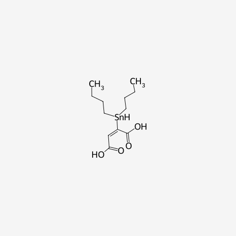 CCC[CH2][SnH]([CH2]CCC)/[C](=C/C(=O)O)C(=O)O